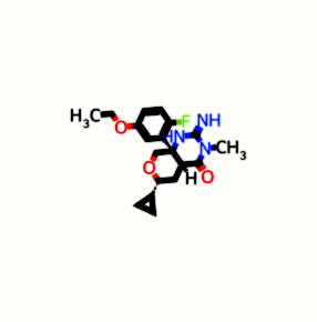 CCOc1ccc(F)c([C@]23CO[C@@H](C4CC4)C[C@H]2C(=O)N(C)C(=N)N3)c1